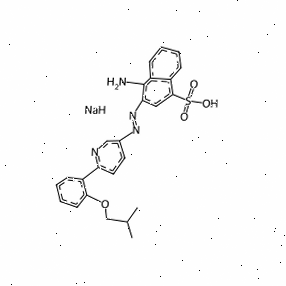 CC(C)COc1ccccc1-c1ccc(/N=N/c2cc(S(=O)(=O)O)c3ccccc3c2N)cn1.[NaH]